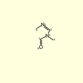 C/N=C\N(C)C=O